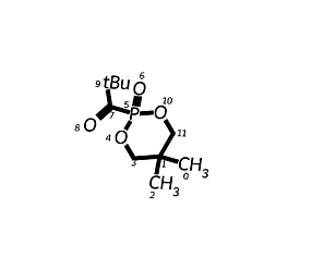 CC1(C)COP(=O)(C(=O)C(C)(C)C)OC1